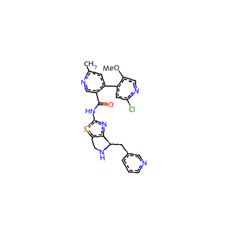 COc1cnc(Cl)cc1-c1cc(C)ncc1C(=O)Nc1nc2c(s1)CNC2Cc1cccnc1